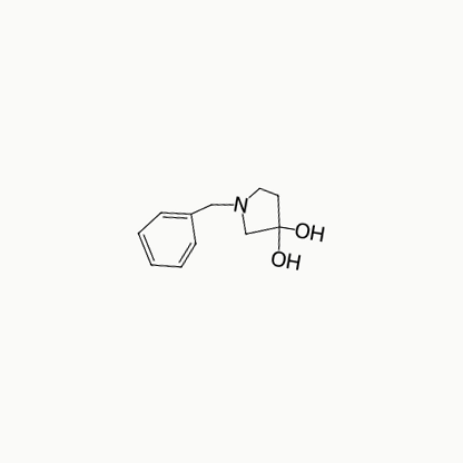 OC1(O)CCN(Cc2ccccc2)C1